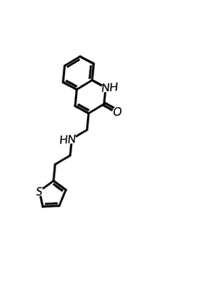 O=c1[nH]c2ccccc2cc1CNCCc1cccs1